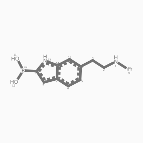 CC(C)NCCc1ccc2cc(B(O)O)[nH]c2c1